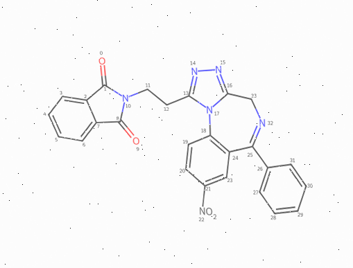 O=C1c2ccccc2C(=O)N1CCc1nnc2n1-c1ccc([N+](=O)[O-])cc1C(c1ccccc1)=NC2